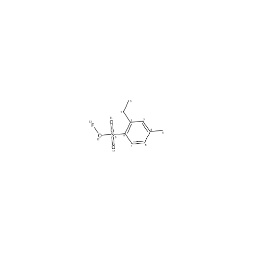 CCc1cc(C)ccc1S(=O)(=O)OF